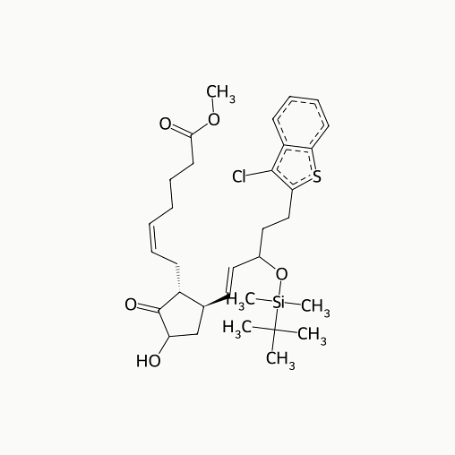 COC(=O)CCC/C=C\C[C@H]1C(=O)C(O)C[C@@H]1/C=C/C(CCc1sc2ccccc2c1Cl)O[Si](C)(C)C(C)(C)C